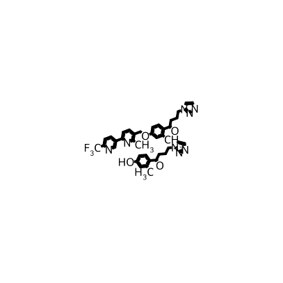 Cc1cc(O)ccc1C(=O)CCCn1ccnn1.Cc1cc(OCc2ccc(-c3ccc(C(F)(F)F)nc3)nc2C)ccc1C(=O)CCCn1ccnn1